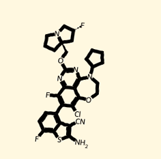 N#Cc1c(N)sc2c(F)ccc(-c3c(Cl)c4c5c(nc(OC[C@@]67CCCN6C[C@H](F)C7)nc5c3F)N(C3CCCC3)CCO4)c12